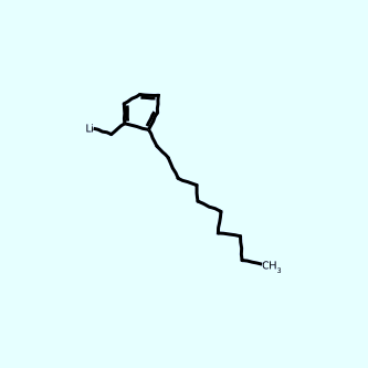 [Li][CH2]c1ccccc1CCCCCCCCCC